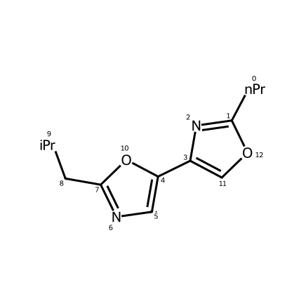 CCCc1nc(-c2[c]nc(CC(C)C)o2)co1